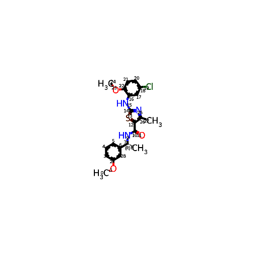 COc1cccc([C@@H](C)NC(=O)c2sc(Nc3cc(Cl)ccc3OC)nc2C)c1